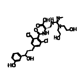 C/N=C(/NC[C@H](NC(=O)c1c(Cl)cc(CCC(O)c2cccc(O)c2)cc1Cl)C(=O)O)N(CCO)CCO